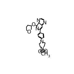 CS(=O)(=O)N1CCN(c2ccc(-c3cc4nccnc4c(O[C@@H]4CCCOC4)n3)cc2)CC1